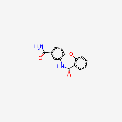 NC(=O)c1ccc2c(c1)NC(=O)c1ccccc1O2